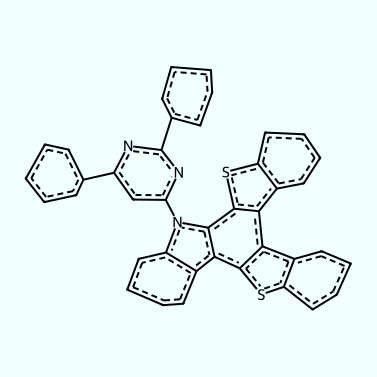 c1ccc(-c2cc(-n3c4ccccc4c4c5sc6ccccc6c5c5c6ccccc6sc5c43)nc(-c3ccccc3)n2)cc1